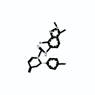 C=C1C=CN(C(=O)Nc2ccc3c(C)n(C)nc3c2Br)[C@H](c2ccc(F)cc2)C1